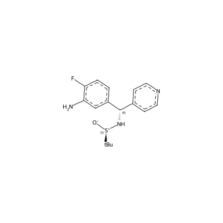 CC(C)(C)[S@@+]([O-])N[C@@H](c1ccncc1)c1ccc(F)c(N)c1